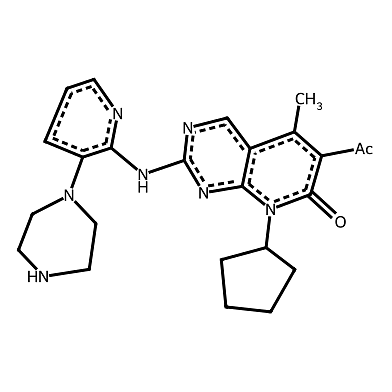 CC(=O)c1c(C)c2cnc(Nc3ncccc3N3CCNCC3)nc2n(C2CCCC2)c1=O